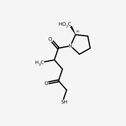 CC(CC(=O)CS)C(=O)N1CCC[C@@H]1C(=O)O